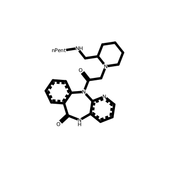 CCCCCNCC1CCCCN1CC(=O)N1c2ccccc2C(=O)Nc2cccnc21